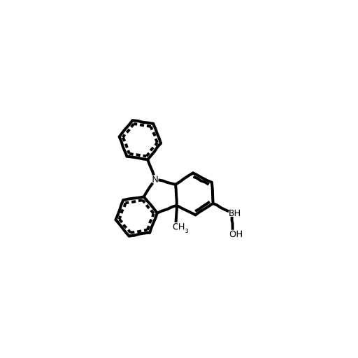 CC12C=C(BO)C=CC1N(c1ccccc1)c1ccccc12